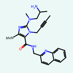 CC#CCn1c(N(C)CC(C)N)nc(NC)c1C(=O)NCc1ccc2ccccc2n1